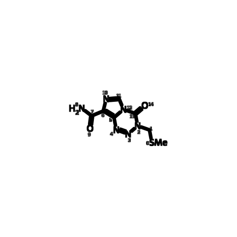 CSCn1nnc2c(C(N)=O)ncn2c1=O